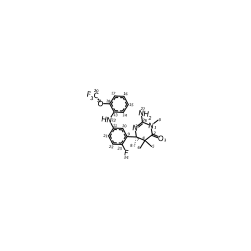 CN1C(=O)C(C)(C)[C@@](C)(c2cc(Nc3ccccc3OC(F)(F)F)ccc2F)N=C1N